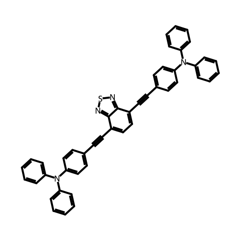 C(#Cc1ccc(C#Cc2ccc(N(c3ccccc3)c3ccccc3)cc2)c2nsnc12)c1ccc(N(c2ccccc2)c2ccccc2)cc1